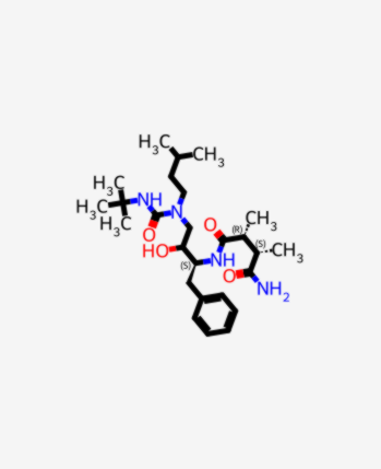 CC(C)CCN(CC(O)[C@H](Cc1ccccc1)NC(=O)[C@H](C)[C@H](C)C(N)=O)C(=O)NC(C)(C)C